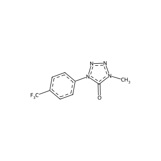 Cn1nnn(-c2ccc(C(F)(F)F)cc2)c1=O